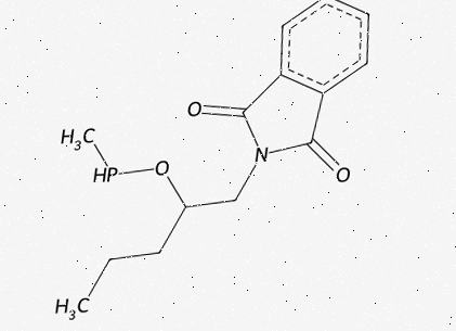 CCCC(CN1C(=O)c2ccccc2C1=O)OPC